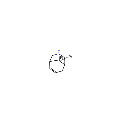 CC(C)C1(C(C)C)CC2C=CCC1CNC2